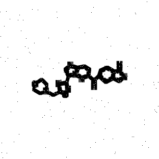 c1cc2[nH]ncc2cc1Nc1ccc2ncc(-c3noc(CN4CCOCC4)n3)n2n1